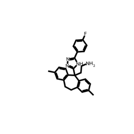 Cc1ccc2c(c1)CCc1cc(C)ccc1C2(CCN)c1nnc(-c2ccc(F)cc2)[nH]1